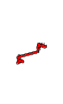 Cc1c(CC(=O)N(C)C)ccc(NC(=O)c2nn([C@@H]3CCCN(C(=O)/C=C/CN(C)CCOCCOCCOCCOCCOCCOCCOCCOCCNC(=O)c4cccc(-c5ccc6c(N7CCOCC7C)nc(N7CCOC[C@H]7C)nc6n5)c4)C3)c3ncnc(N)c23)c1C